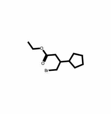 CCOC(=O)CC(CBr)C1CCCC1